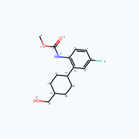 COC(=O)Nc1ccc(F)cc1C1CCC(CO)CC1